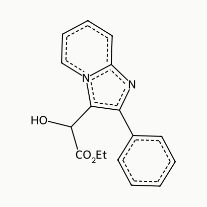 CCOC(=O)C(O)c1c(-c2ccccc2)nc2ccccn12